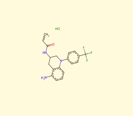 C=CC(=O)NC1Cc2c(N)cccc2N(c2ccc(C(F)(F)F)cc2)C1.Cl